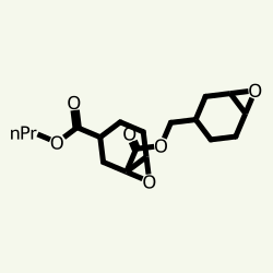 CCCOC(=O)C1CCC2OC2(C(=O)OCC2CCC3OC3C2)C1